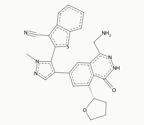 Cn1ncc(-c2cc([C@@H]3CCCO3)c3c(=O)[nH]nc(CN)c3c2)c1-c1sc2ccccc2c1C#N